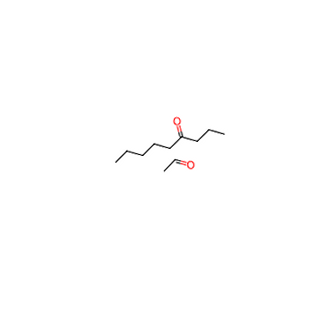 CC=O.CCCCCC(=O)CCC